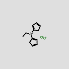 C[CH2][Zr+2]([C]1=CC=CC1)[C]1=CC=CC1.[Cl-].[Cl-]